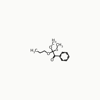 CCCOC(OC)(SC)C(=O)c1ccccc1